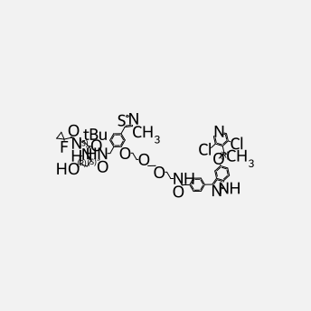 Cc1ncsc1-c1ccc(CNC(=O)[C@@H]2C[C@@H](O)CN2C(=O)[C@@H](NC(=O)C2(F)CC2)C(C)(C)C)c(OCCOCCOCCNC(=O)c2ccc(-c3n[nH]c4ccc(O[C@H](C)c5c(Cl)cncc5Cl)cc34)cc2)c1